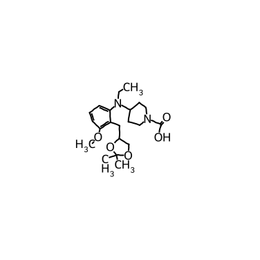 CCN(c1cccc(OC)c1CC1COC(C)(C)O1)C1CCN(C(=O)O)CC1